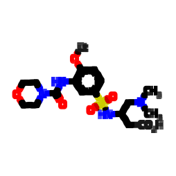 CCOc1ccc(S(=O)(=O)NC(CC(=O)O)CN(C)C)cc1NC(=O)N1CCOCC1